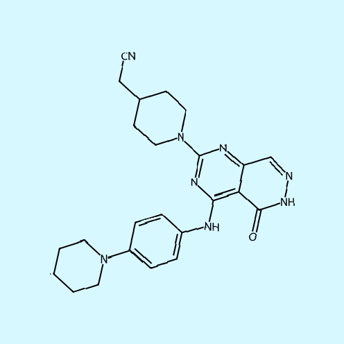 N#CCC1CCN(c2nc(Nc3ccc(N4CC[CH]CC4)cc3)c3c(=O)[nH]ncc3n2)CC1